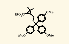 CCOC(=O)C1C(COC(c2ccc(OC)cc2)(c2ccc(OC)cc2)c2ccc(OC)cc2)C1(C)C